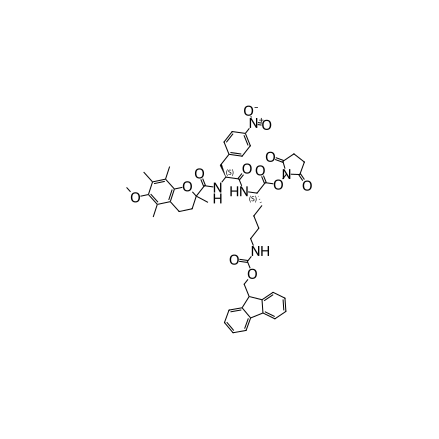 COc1c(C)c(C)c2c(c1C)CCC(C)(C(=O)N[C@@H](Cc1ccc([N+](=O)[O-])cc1)C(=O)N[C@@H](CCCCNC(=O)OCC1c3ccccc3-c3ccccc31)C(=O)ON1C(=O)CCC1=O)O2